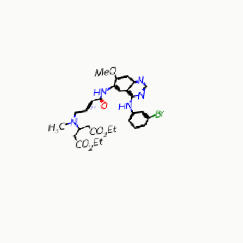 CCOC(=O)CC(CC(=O)OCC)N(C)C/C=C/C(=O)Nc1cc2c(Nc3cccc(Br)c3)ncnc2cc1OC